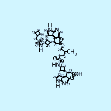 CC(CCS(=O)(=O)N[C@H]1C[C@@H](C2=CB(O)Oc3cnc4[nH]ccc4c32)C1)COB1C=C([C@H]2C[C@@H](NS(=O)(=O)CC3CCC3)C2)c2c(cnc3[nH]ccc23)O1